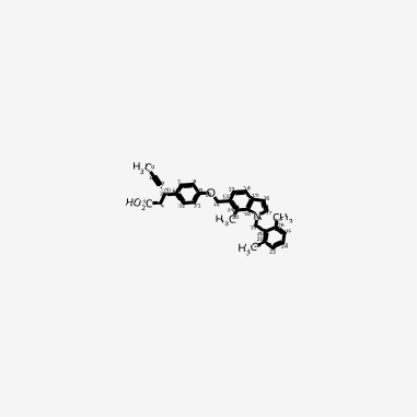 CC#C[C@@H](CC(=O)O)c1ccc(OCc2ccc3ccn(Cc4c(C)cccc4C)c3c2C)cc1